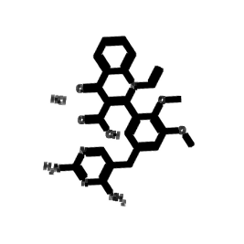 C=Cn1c(-c2cc(Cc3cnc(N)nc3N)cc(OC)c2OC)c(C(=O)O)c(=O)c2ccccc21.Cl